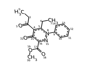 CCC(=O)c1c(CC)n(-c2ccccc2)nc(C(=O)OC)c1=O